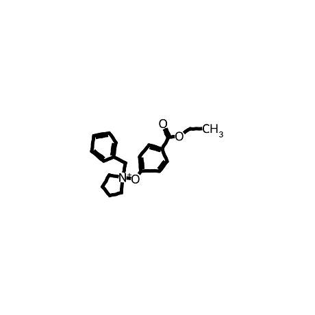 CCOC(=O)c1ccc(O[N+]2(Cc3ccccc3)CCCC2)cc1